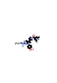 CCC[C@H](C)Nc1ncc2c(C3CCN(C(=O)c4cc(C)nc(C)c4)C3)cn([C@H]3CC[C@H](O)CC3)c2n1